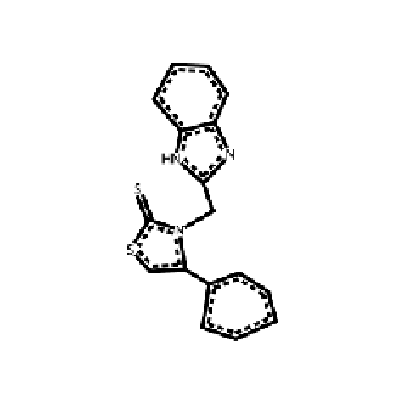 S=c1scc(-c2ccccc2)n1Cc1nc2ccccc2[nH]1